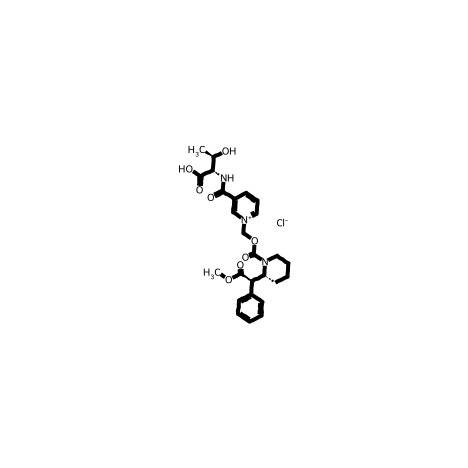 COC(=O)[C@H](c1ccccc1)[C@H]1CCCCN1C(=O)OC[n+]1cccc(C(=O)N[C@H](C(=O)O)[C@@H](C)O)c1.[Cl-]